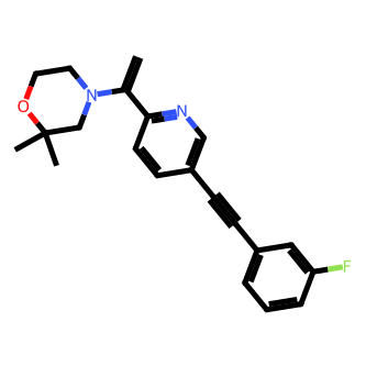 C=C(c1ccc(C#Cc2cccc(F)c2)cn1)N1CCOC(C)(C)C1